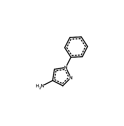 Nc1[c]nn(-c2ccccc2)c1